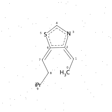 C/C=c1/ncs/c1=C/CC(C)C